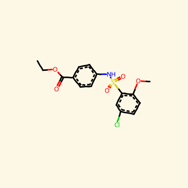 CCOC(=O)c1ccc(NS(=O)(=O)c2cc(Cl)ccc2OC)cc1